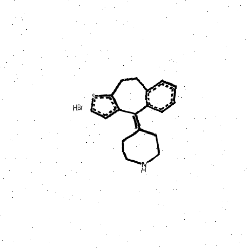 Br.c1ccc2c(c1)CCc1sccc1C2=C1CCNCC1